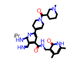 Cc1cc(C)c(CNC(=O)c2cc(C3=CCN(C(=O)C4CCCN(C)C4)CC3)nc(NC(C)C)c2C=N)c(=O)[nH]1